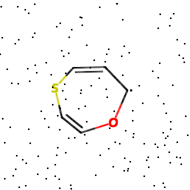 [CH]1C=CSC=CO1